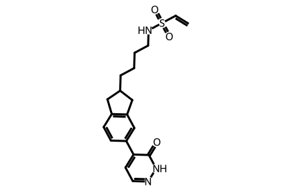 C=CS(=O)(=O)NCCCCC1Cc2ccc(-c3ccn[nH]c3=O)cc2C1